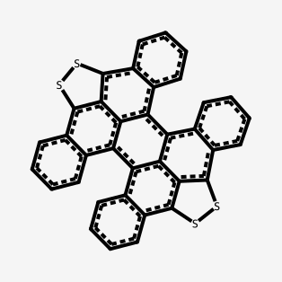 c1ccc2c(c1)c1c3c(c4ccccc4c4c3c2c2c3ccccc3c3c5c(c6ccccc6c4c52)SS3)SS1